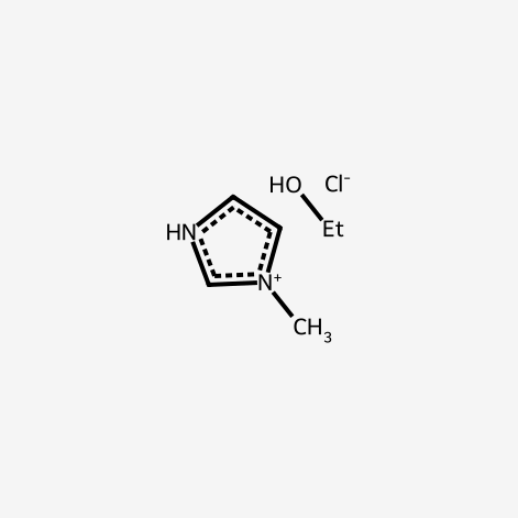 CCO.C[n+]1cc[nH]c1.[Cl-]